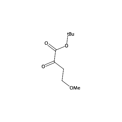 COCCC(=O)C(=O)OC(C)(C)C